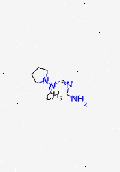 CN(/C=N\CN)N1CCCC1